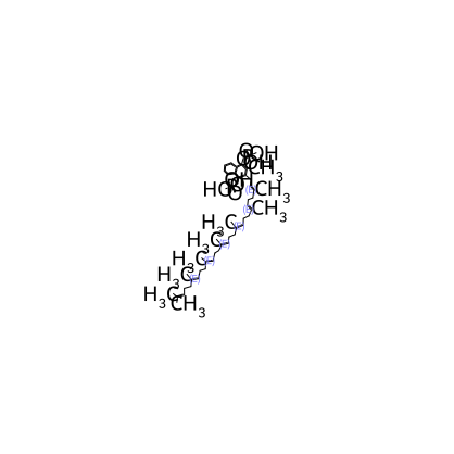 CC(C)=CCC/C(C)=C/CC/C(C)=C/CC/C(C)=C/CC/C(C)=C/CC/C(C)=C/CC/C(C)=C/Cc1c(C)c(OP(=O)(O)O)c2ccccc2c1OP(=O)(O)O